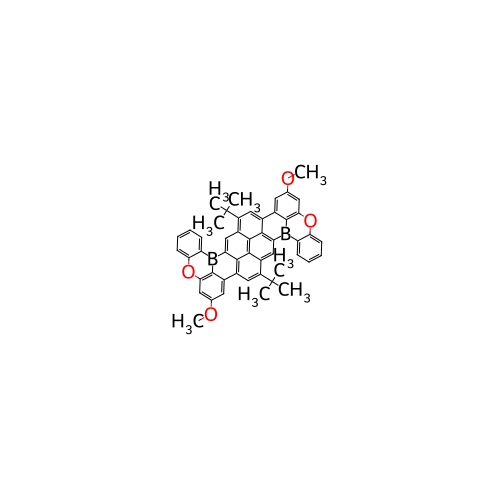 COc1cc2c3c(c1)-c1cc(C(C)(C)C)c4cc5c6c(cc(C(C)(C)C)c7cc(c1c4c76)B3c1ccccc1O2)-c1cc(OC)cc2c1B5c1ccccc1O2